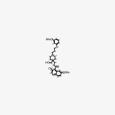 COc1cccc(SCCCN2CCC(CO)(CCC(F)c3c(Cl)cnc4ccc(OC)cc34)CC2)c1